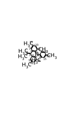 CC(C)=C1c2cc(C)ccc2N(c2c(C)cc(C)cc2C)c2ccc(C)cc21